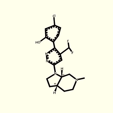 CN1CC[C@@H]2CCN(c3cc(C(F)F)c(-c4ccc(Cl)cc4O)nn3)[C@@H]2C1